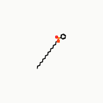 CCCCCCCCCCCCCCCCO[PH](=O)c1ccccc1